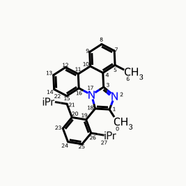 Cc1nc2c3c(C)cccc3c3ccccc3n2c1-c1c(CC(C)C)cccc1C(C)C